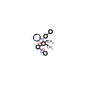 C=Cc1cc2c(oc3cccc(-c4nc5ccccc5o4)c32)c(N(C2=C/C/C=C\C=C/C/C=C\2)c2ccc(-c3ccccc3)cc2)c1C=C